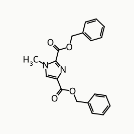 Cn1cc(C(=O)OCc2ccccc2)nc1C(=O)OCc1ccccc1